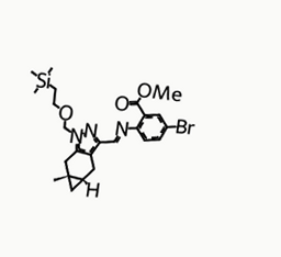 COC(=O)c1cc(Br)ccc1/N=C/c1nn(COCC[Si](C)(C)C)c2c1C[C@@H]1C[C@]1(C)C2